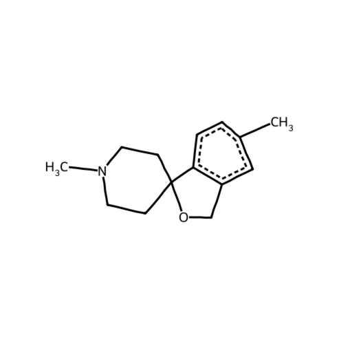 Cc1ccc2c(c1)COC21CCN(C)CC1